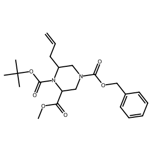 C=CCC1CN(C(=O)OCc2ccccc2)CC(C(=O)OC)N1C(=O)OC(C)(C)C